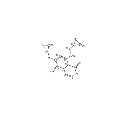 C=C1CC=CC(C(=O)OCC2CO2)C1C(=O)OCC1CO1